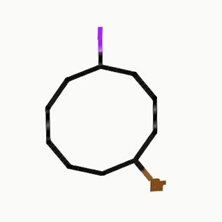 BrC1CCCCCC(I)CCC1